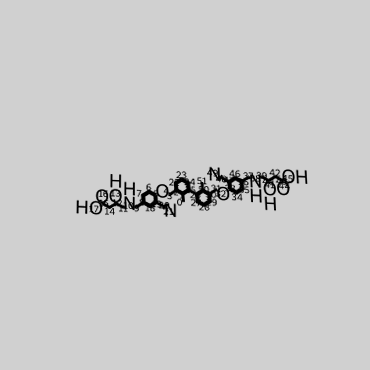 Cc1c(COc2ccc(CNCC(O)CC(=O)O)cc2C#N)cccc1-c1cccc(COc2ccc(CNCC(O)CC(=O)O)cc2C#N)c1C